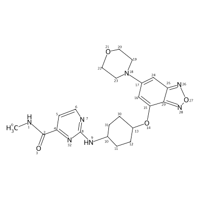 CNC(=O)c1ccnc(NC2CCC(Oc3cc(N4CCOCC4)cc4nonc34)CC2)n1